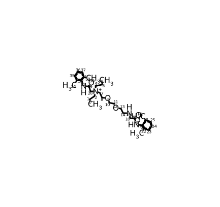 CCC[N+](CCC)(CCOCCOCCNCC(=O)Nc1c(C)cccc1C)CC(=O)Nc1c(C)cccc1C